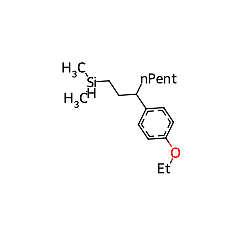 CCCCCC(CC[SiH](C)C)c1ccc(OCC)cc1